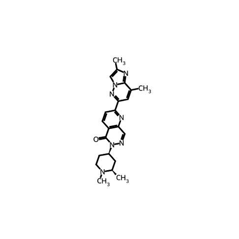 Cc1cn2nc(-c3ccc4c(=O)n([C@@H]5CCN(C)[C@H](C)C5)ncc4n3)cc(C)c2n1